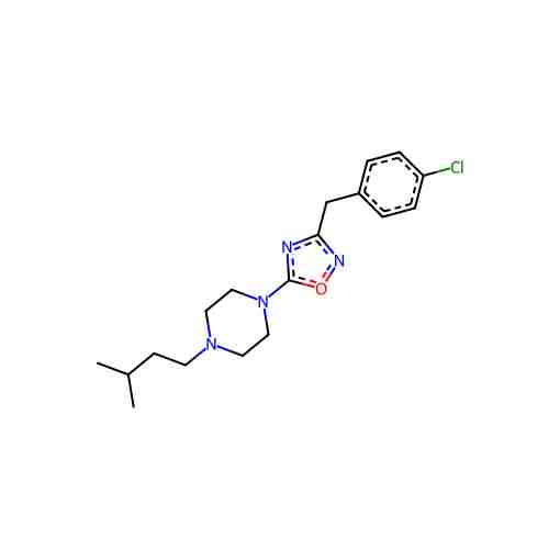 CC(C)CCN1CCN(c2nc(Cc3ccc(Cl)cc3)no2)CC1